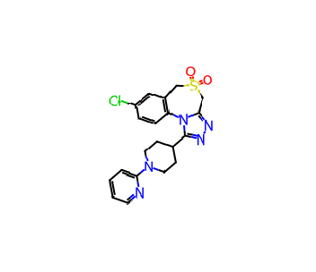 O=S1(=O)Cc2cc(Cl)ccc2-n2c(nnc2C2CCN(c3ccccn3)CC2)C1